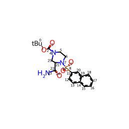 CC(C)(C)OC(=O)N1CCN(S(=O)(=O)c2ccc3ccccc3c2)C(C(N)=O)C1